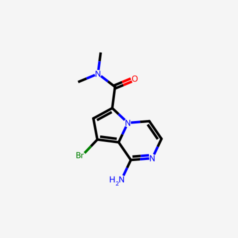 CN(C)C(=O)c1cc(Br)c2c(N)nccn12